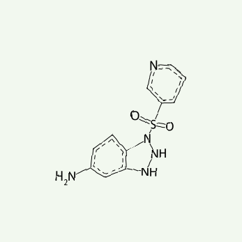 Nc1ccc2c(c1)NNN2S(=O)(=O)c1cccnc1